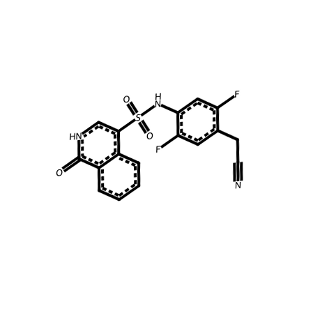 N#CCc1cc(F)c(NS(=O)(=O)c2c[nH]c(=O)c3ccccc23)cc1F